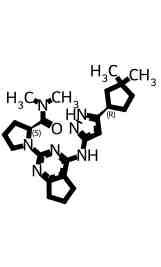 CN(C)C(=O)[C@@H]1CCCN1c1nc2c(c(Nc3cc([C@@H]4CCC(C)(C)C4)[nH]n3)n1)CCC2